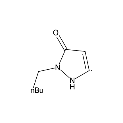 CCCCCn1[nH][c]cc1=O